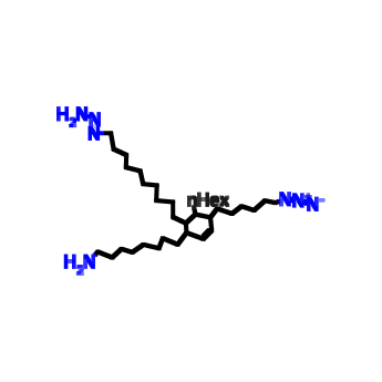 CCCCCCC1C(CCCCCCN=[N+]=[N-])C=CC(CCCCCCCCN)C1CCCCCCCCCCN=NN